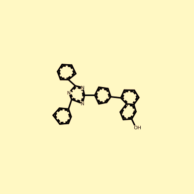 Oc1ccc2c(-c3ccc(-c4nc(-c5ccccc5)nc(-c5ccccc5)n4)cc3)cccc2c1